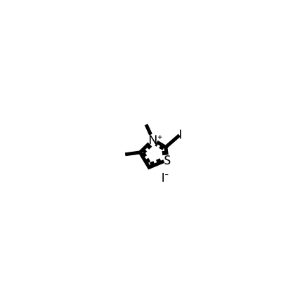 Cc1csc(I)[n+]1C.[I-]